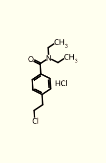 CCN(CC)C(=O)c1ccc(CCCl)cc1.Cl